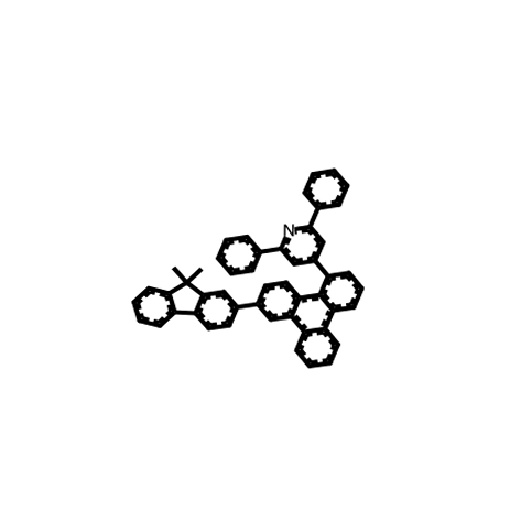 CC1(C)c2ccccc2-c2ccc(-c3ccc4c(c3)c3ccccc3c3cccc(-c5cc(-c6ccccc6)nc(-c6ccccc6)c5)c34)cc21